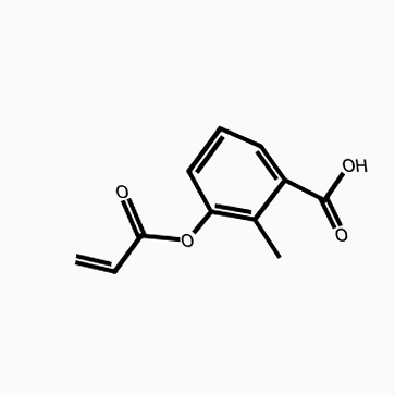 C=CC(=O)Oc1cccc(C(=O)O)c1C